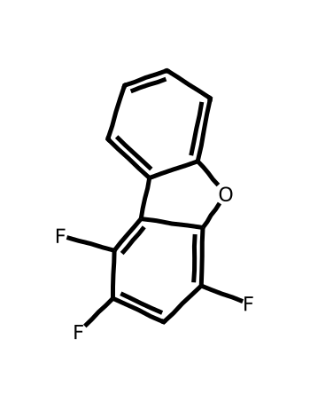 Fc1cc(F)c2oc3ccccc3c2c1F